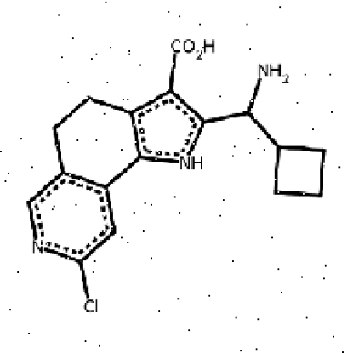 NC(c1[nH]c2c(c1C(=O)O)CCc1cnc(Cl)cc1-2)C1CCC1